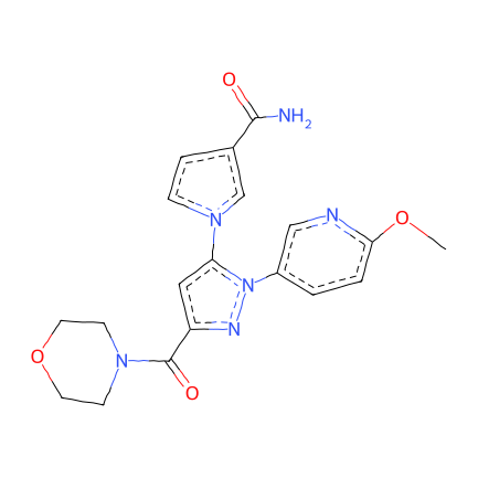 COc1ccc(-n2nc(C(=O)N3CCOCC3)cc2-n2ccc(C(N)=O)c2)cn1